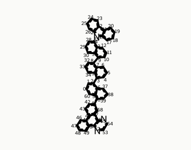 c1cc(-c2cccc3c(-c4cccc5c(-n6c7ccccc7c7ccccc76)cccc45)cccc23)c2cccc(-c3ccc4c5ccccc5c5nccnc5c4c3)c2c1